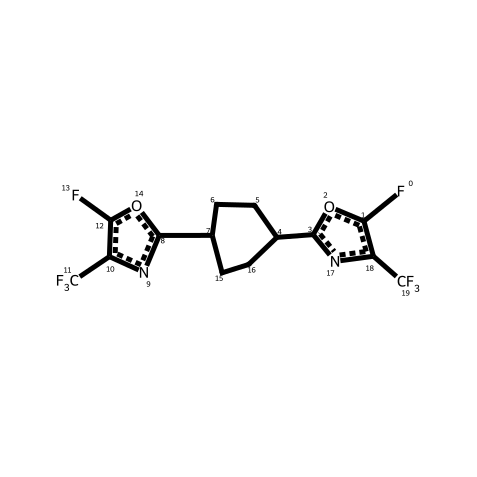 Fc1oc(C2CCC(c3nc(C(F)(F)F)c(F)o3)CC2)nc1C(F)(F)F